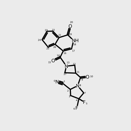 N#CC1CC(F)(F)CN1C(=O)C1CN(C(=O)c2c[nH]c(=O)c3ccccc23)C1